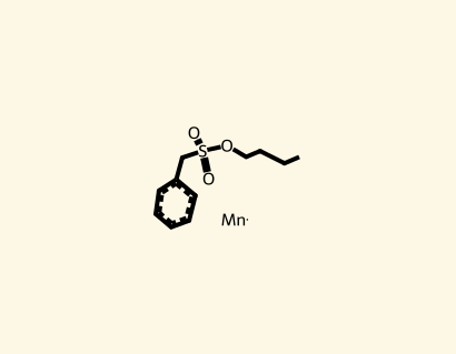 CCCCOS(=O)(=O)Cc1ccccc1.[Mn]